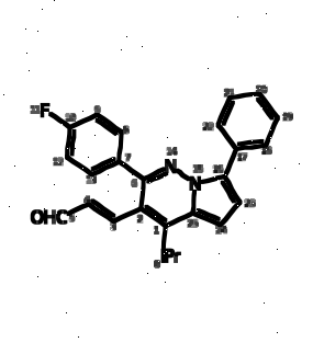 CC(C)c1c(C=CC=O)c(-c2ccc(F)cc2)nn2c(-c3ccccc3)ccc12